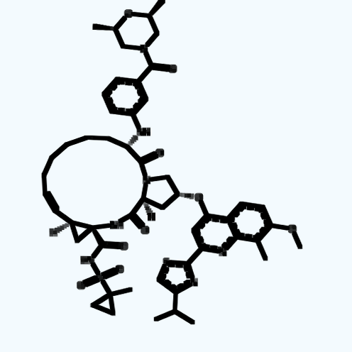 COc1ccc2c(O[C@@H]3C[C@H]4C(=O)N[C@]5(C(=O)NS(=O)(=O)C6(C)CC6)C[C@H]5/C=C\CCCCC[C@H](Nc5cccc(C(=O)N6C[C@@H](C)O[C@@H](C)C6)c5)C(=O)N4C3)cc(-c3nc(C(C)C)cs3)nc2c1C